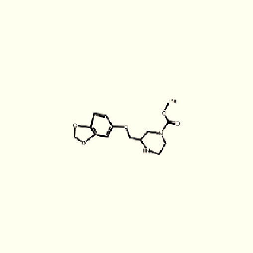 CC(C)(C)OC(=O)N1CCNC(COc2ccc3c(c2)OCO3)C1